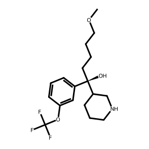 COCCCC[C@@](O)(c1cccc(OC(F)(F)F)c1)C1CCCNC1